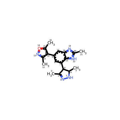 CC1=NNC(C)C1c1cc(-c2c(C)noc2C)cc2nc(C)[nH]c12